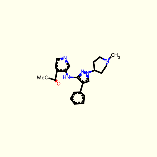 COC(=O)c1ccncc1Nc1nn(C2CCN(C)CC2)cc1-c1ccccc1